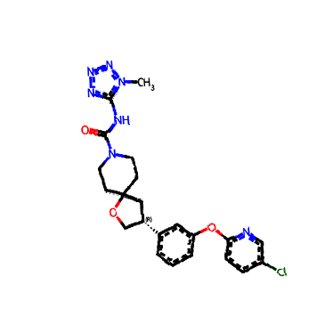 Cn1nnnc1NC(=O)N1CCC2(CC1)C[C@H](c1cccc(Oc3ccc(Cl)cn3)c1)CO2